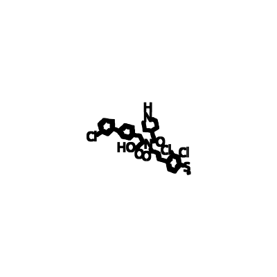 CSc1ccc(C=CC(=O)N(C(=O)C2CCNCC2)C(Cc2ccc(-c3cccc(Cl)c3)cc2)C(=O)O)c(Cl)c1Cl